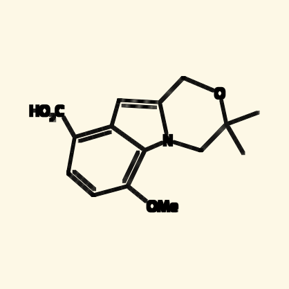 COc1ccc(C(=O)O)c2cc3n(c12)CC(C)(C)OC3